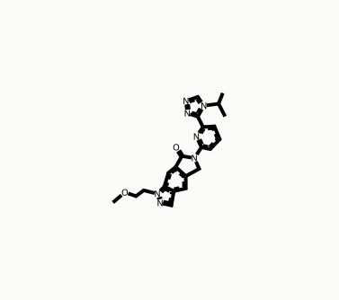 COCCn1ncc2cc3c(cc21)C(=O)N(c1cccc(-c2nncn2C(C)C)n1)C3